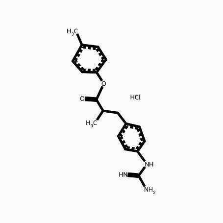 Cc1ccc(OC(=O)C(C)Cc2ccc(NC(=N)N)cc2)cc1.Cl